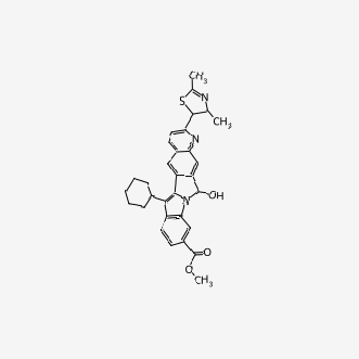 COC(=O)c1ccc2c(C3CCCCC3)c3n(c2c1)C(O)c1cc2nc(C4SC(C)=NC4C)ccc2cc1-3